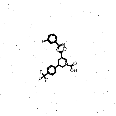 O=C(O)N1CC(c2ccc(C(F)(F)F)cc2)CC(c2nc(-c3cccc(F)c3)no2)C1